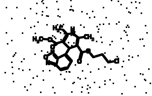 COC(=O)C1=C(C)NC(C)=C(C(=O)OCCCCl)C1c1cccc2nonc12